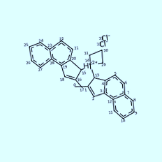 CC1=Cc2c(ccc3ccccc23)[CH]1[Hf+2]1([CH]2C(C)=Cc3c2ccc2ccccc32)[CH2]C[CH2]1.[Cl-].[Cl-]